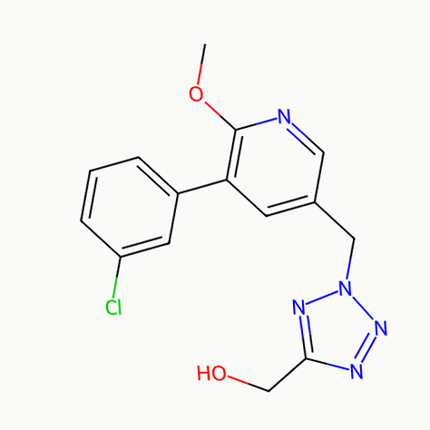 COc1ncc(Cn2nnc(CO)n2)cc1-c1cccc(Cl)c1